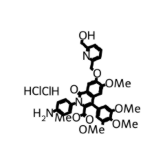 COC(=O)c1c(-c2cc(OC)c(OC)c(OC)c2)c2cc(OC)c(OCc3cccc(CO)n3)cc2c(=O)n1-c1ccc(N)cc1.Cl.Cl